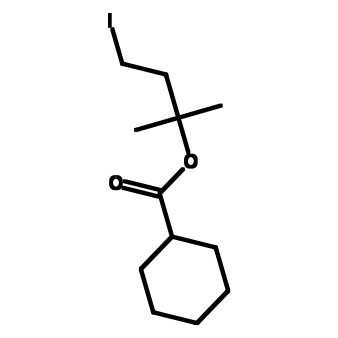 CC(C)(CCI)OC(=O)C1CCCCC1